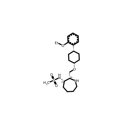 CCOc1ccccc1[C@H]1CC[C@@H](OC[C@@H]2NCCCC[C@@H]2NS(C)(=O)=O)CC1